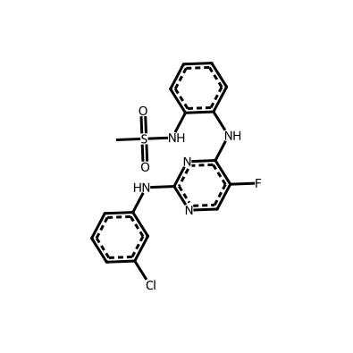 CS(=O)(=O)Nc1ccccc1Nc1nc(Nc2cccc(Cl)c2)ncc1F